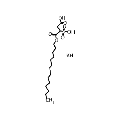 CCCCCCCCCCCCCCOC(=O)C(CC(=O)O)S(=O)(=O)O.[KH]